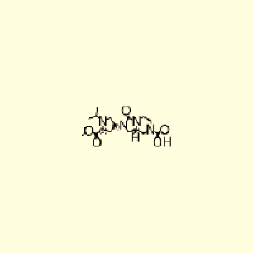 COC(=O)[C@@H]1C[C@@H](N2C[C@@H]3CN(C(=O)O)CCN3C2=O)CN1C(C)C